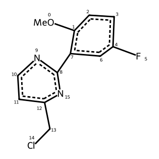 COc1ccc(F)cc1-c1nccc(CCl)n1